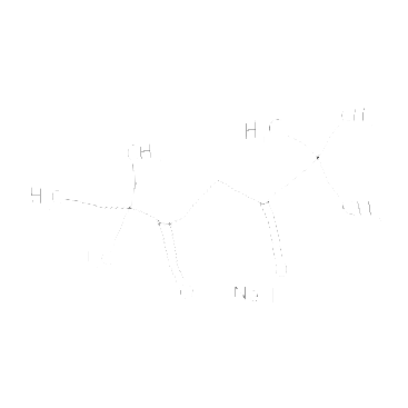 CC(C)(C)C(=O)CC(=O)C(C)(C)C.[NaH]